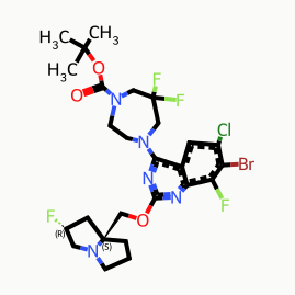 CC(C)(C)OC(=O)N1CCN(c2nc(OC[C@@]34CCCN3C[C@H](F)C4)nc3c(F)c(Br)c(Cl)cc23)CC(F)(F)C1